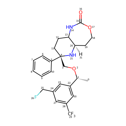 C[C@@H](OC[C@@]1(c2ccccc2)CCC2NC(=O)OCC[C@H]2N1)c1cc(CF)cc(C(F)(F)F)c1